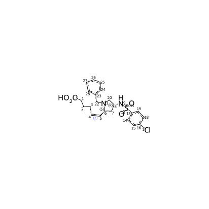 O=C(O)CCC/C=C\[C@@H]1C[C@@H](NS(=O)(=O)c2ccc(Cl)cc2)CN1Cc1ccccc1